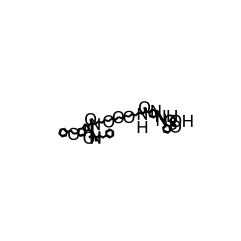 CN(CCc1ccccc1)C(=O)Cn1c(C(=O)NCCCOCCOCCOCCCNC(=O)c2ccc(NN=Cc3ccccc3S(=O)(=O)O)nc2)cc2cc(OCc3ccccc3)ccc21